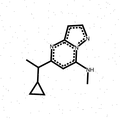 CNc1cc(C(C)C2CC2)nc2ccnn12